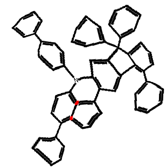 c1ccc(-c2ccc(N(c3ccc(-c4ccccc4)cc3)c3cc4c(cc3-c3ccccc3)-c3c(-c5ccccc5)cccc3C4(c3ccccc3)c3ccccc3)cc2)cc1